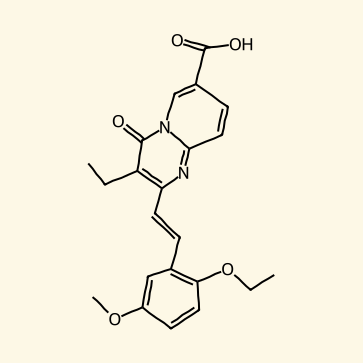 CCOc1ccc(OC)cc1/C=C/c1nc2ccc(C(=O)O)cn2c(=O)c1CC